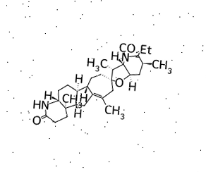 CCOC(=O)N1C[C@@H](C)C[C@H]2O[C@]3(CC[C@@H]4C(=C(C)C3)C[C@H]3[C@H]4CC[C@H]4NC(=O)CC[C@@]43C)[C@H](C)[C@@H]21